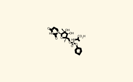 CC(N[P@@](=O)(OC[C@@]1(F)O[C@@H](n2ccc(=O)[nH]c2=O)[C@](C)(O)[C@@H]1O)Oc1ccccc1)C(=O)O